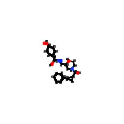 O=C(NC[C@@H]1CN(C(=O)C2C[C@H]2c2ccccc2)CCO1)c1ccc(O)cc1